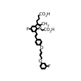 Cc1c(CCCC(=O)O)c2cc(F)cc(C=Cc3ccc(OC/C=C/COc4cccc(F)c4)cc3)c2n1CC(=O)O